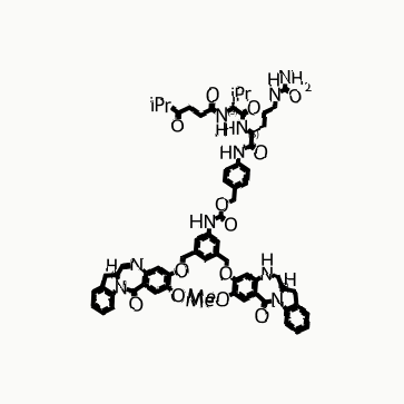 COc1cc2c(cc1OCc1cc(COc3cc4c(cc3OC)C(=O)N3c5ccccc5C[C@H]3CN4)cc(NC(=O)OCc3ccc(NC(=O)[C@H](CCCNC(N)=O)NC(=O)[C@@H](NC(=O)CCC(=O)C(C)C)C(C)C)cc3)c1)N=C[C@@H]1Cc3ccccc3N1C2=O